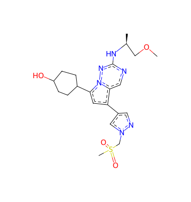 COC[C@H](C)Nc1ncc2c(-c3cnn(CS(C)(=O)=O)c3)cc(C3CCC(O)CC3)n2n1